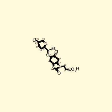 CC[C@@H](Oc1cc2sc(=O)n(CCC(=O)O)c2cc1Cl)c1ccc(Cl)cn1